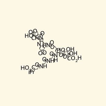 CC(C)C(CC(=O)NCCC(=O)NCCC(=O)Nc1cc(COC(=O)NCc2c3c(nc4cc5c(cc24)OCO5)-c2cc4c(c(=O)n2C3)COC(=O)[C@@]4(C)O)ccc1O[C@@H]1OC(C(=O)O)[C@@H](O)C(O)C1O)C(=O)O